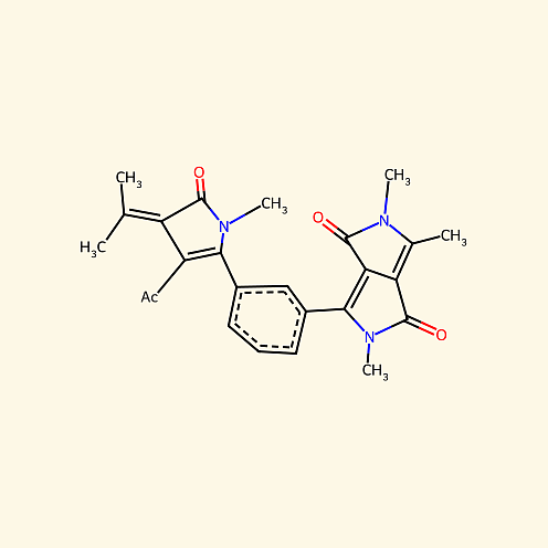 CC(=O)C1=C(c2cccc(C3=C4C(=O)N(C)C(C)=C4C(=O)N3C)c2)N(C)C(=O)C1=C(C)C